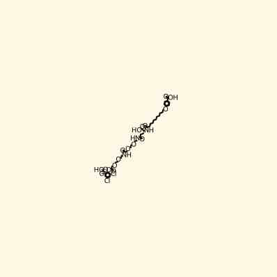 O=C(CC[C@H](NC(=O)CCCCCCCCCCOc1ccc(C(=O)O)cc1)C(=O)O)NCCOCCOCC(=O)NCCOCCOCC(=O)Oc1c(Cl)cc(Cl)cc1S(=O)(=O)O